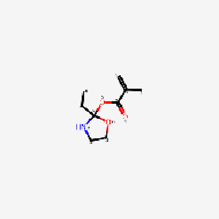 C=C(C)C(=O)OC1(CC)NCCO1